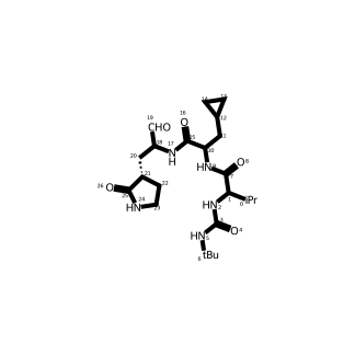 CC(C)C(NC(=O)NC(C)(C)C)C(=O)NC(CC1CC1)C(=O)NC(C=O)C[C@@H]1CCNC1=O